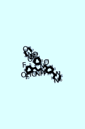 O=CNC(Cc1cc(F)cc(F)c1)c1nc2cc(-c3cnccn3)ccc2c(=O)n1-c1ccc(S(=O)(=O)N2CCOCC2)cc1